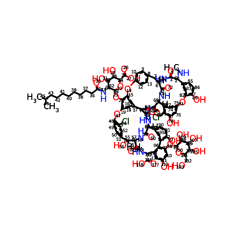 CN[C@H]1C(=O)N[C@@H]2Cc3ccc(cc3)Oc3cc4cc(c3O[C@@H]3O[C@H](C(=O)O)[C@@H](O)[C@H](O)[C@H]3NC(=O)CCCCCCCCC(C)C)Oc3ccc(cc3Cl)[C@@H](O)[C@@H]3NC(=O)[C@H](NC(=O)[C@@H]4NC(=O)[C@@H](NC2=O)c2cc(cc(O)c2Cl)Oc2cc1ccc2O)c1ccc(O)c(c1)-c1c(O[C@H]2O[C@H](CO)[C@@H](O)[C@H](O)[C@@H]2O)cc(O)cc1[C@H](C(=O)O)NC3=O